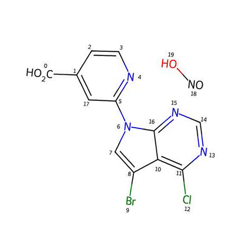 O=C(O)c1ccnc(-n2cc(Br)c3c(Cl)ncnc32)c1.O=NO